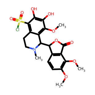 COc1ccc2c(c1OC)C(=O)OC2C1c2c(c(S(=O)(=O)Cl)c(O)c(O)c2OC)CCN1C